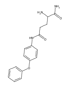 NC(=O)C(N)CCC(=O)Nc1ccc(Oc2ccccc2)cc1